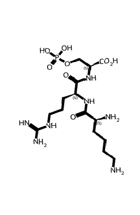 N=C(N)NCCC[C@H](NC(=O)[C@@H](N)CCCCN)C(=O)N[C@@H](COP(=O)(O)O)C(=O)O